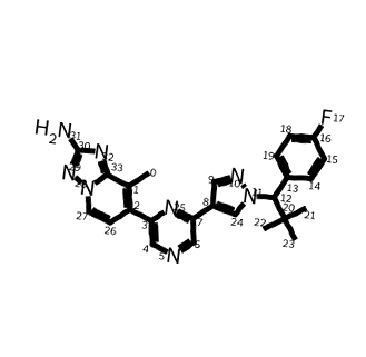 Cc1c(-c2cncc(-c3cnn(C(c4ccc(F)cc4)C(C)(C)C)c3)n2)ccn2nc(N)nc12